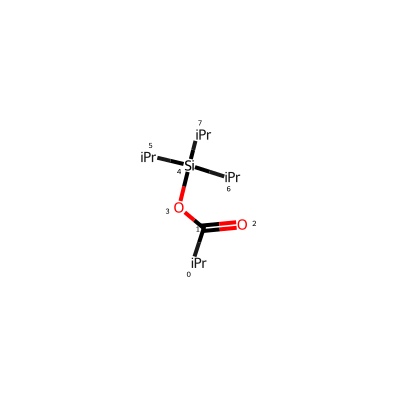 CC(C)C(=O)O[Si](C(C)C)(C(C)C)C(C)C